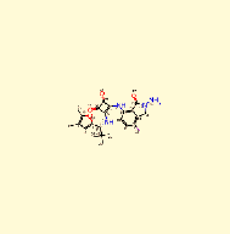 Cc1cc([C@H](Nc2c(Nc3ccc(I)c4c3C(=O)N(N)C4)c(=O)c2=O)C(C)(C)C)oc1C